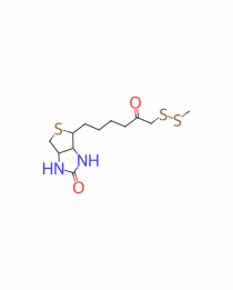 CSSCC(=O)CCCCC1SCC2NC(=O)NC21